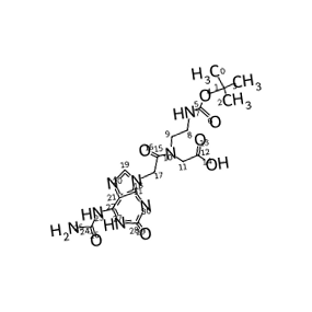 CC(C)(C)OC(=O)NCCN(CC(=O)O)C(=O)Cn1cnc2c(NC(N)=O)[nH]c(=O)nc21